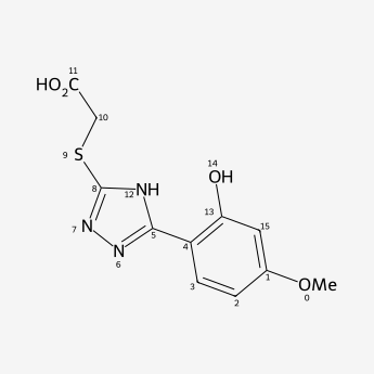 COc1ccc(-c2nnc(SCC(=O)O)[nH]2)c(O)c1